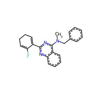 CN(Cc1ccccc1)c1nc(C2=CCCC=C2F)nc2ccccc12